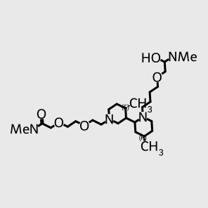 CNC(=O)COCCOCCN1CC[C@H](C)C(C2C[C@H](C)CCN2CCCCOCC(O)NC)C1